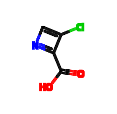 O=C(O)C1=NC=C1Cl